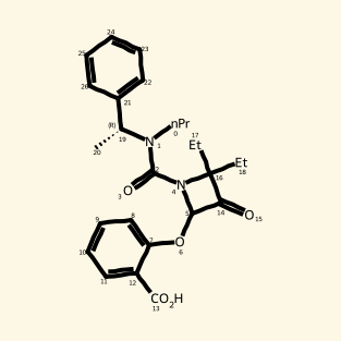 CCCN(C(=O)N1C(Oc2ccccc2C(=O)O)C(=O)C1(CC)CC)[C@H](C)c1ccccc1